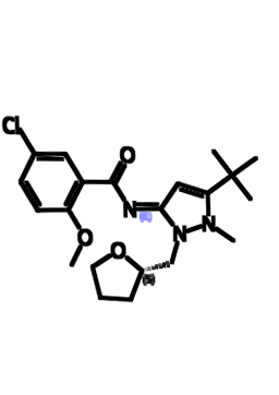 COc1ccc(Cl)cc1C(=O)/N=c1\cc(C(C)(C)C)n(C)n1C[C@@H]1CCCO1